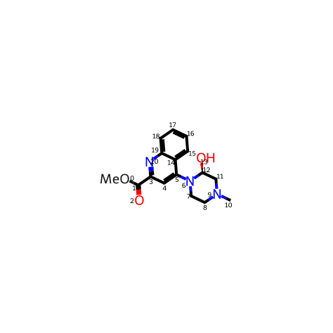 COC(=O)c1cc(N2CCN(C)C[C@@H]2O)c2ccccc2n1